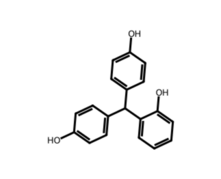 Oc1ccc(C(c2ccc(O)cc2)c2ccccc2O)cc1